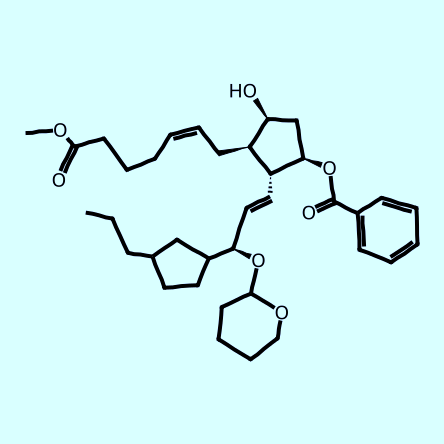 CCCC1CCC([C@@H](/C=C/[C@@H]2[C@@H](C/C=C\CCCC(=O)OC)[C@@H](O)C[C@H]2OC(=O)c2ccccc2)OC2CCCCO2)C1